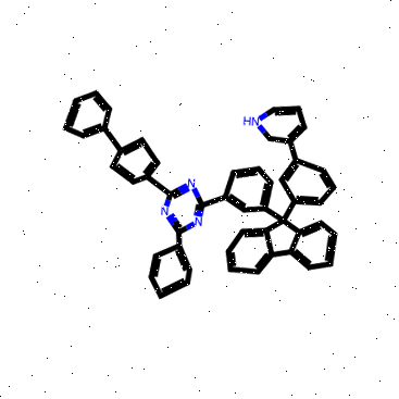 C1=CNCC(c2cccc(C3(c4cccc(-c5nc(-c6ccccc6)nc(-c6ccc(-c7ccccc7)cc6)n5)c4)c4ccccc4-c4ccccc43)c2)=C1